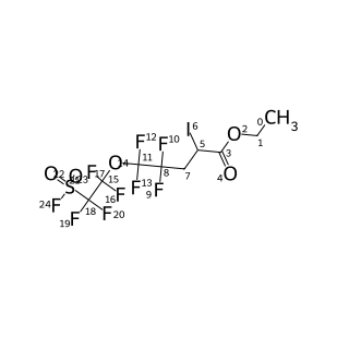 CCOC(=O)C(I)CC(F)(F)C(F)(F)OC(F)(F)C(F)(F)S(=O)(=O)F